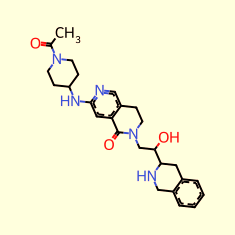 CC(=O)N1CCC(Nc2cc3c(cn2)CCN(CC(O)C2Cc4ccccc4CN2)C3=O)CC1